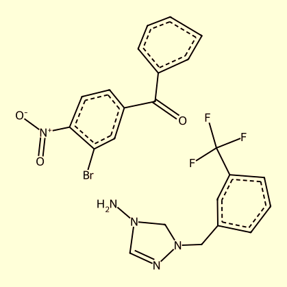 NN1C=NN(Cc2cccc(C(F)(F)F)c2)C1.O=C(c1ccccc1)c1ccc([N+](=O)[O-])c(Br)c1